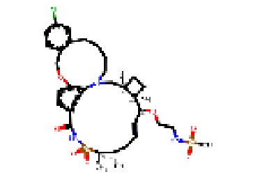 C[C@@H]1[C@@H](C)C/C=C/[C@H](OCCNS(C)(=O)=O)[C@@H]2CC[C@H]2CN2CCCCc3cc(Cl)ccc3COc3ccc(cc32)C(=O)NS1(=O)=O